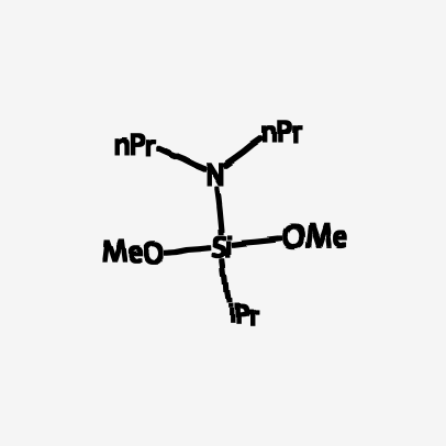 CCCN(CCC)[Si](OC)(OC)C(C)C